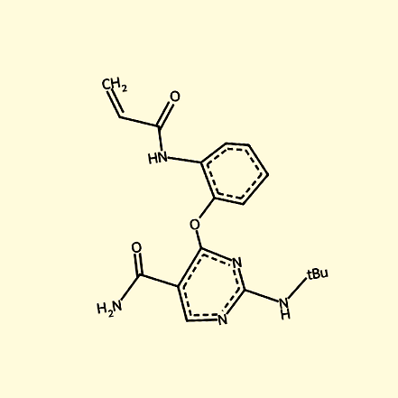 C=CC(=O)Nc1ccccc1Oc1nc(NC(C)(C)C)ncc1C(N)=O